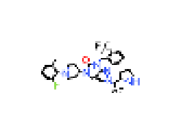 CC(=O)C(C1CCCN1)n1cc2c(n1)N(Cc1ccccc1C(F)(F)F)C(=O)N(C1CCN(c3c(C)cccc3F)CC1)C2